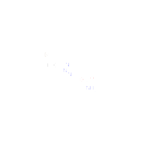 Cc1c(Br)cccc1-n1cc(COC(N)=O)nn1